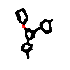 Cc1ccc(-c2cc(Oc3ccccc3)cc(-c3ccc(C)cc3)c2)cc1